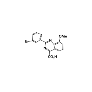 COc1cccc2c(C(=O)O)nc(-c3cccc(Br)c3)nc12